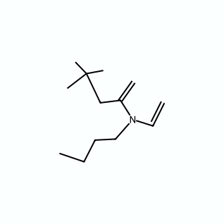 C=CN(CCCC)C(=C)CC(C)(C)C